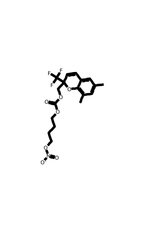 Cc1cc(C)c2c(c1)C=CC(COC(=O)OCCCCO[N+](=O)[O-])(C(F)(F)F)O2